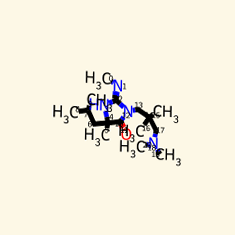 C/N=C1\NC(C)(CC(C)C)C(=O)N1CC(C)(C)CN(C)C